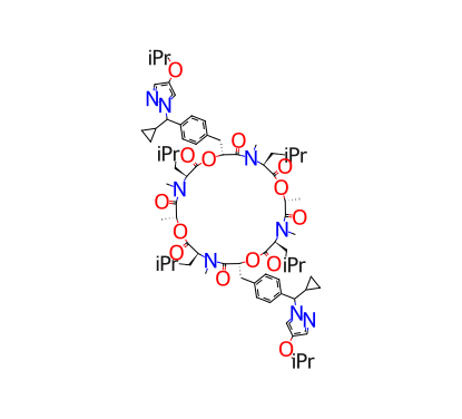 CC(C)C[C@H]1C(=O)O[C@H](Cc2ccc(C(C3CC3)n3cc(OC(C)C)cn3)cc2)C(=O)N(C)[C@@H](CC(C)C)C(=O)O[C@H](C)C(=O)N(C)[C@@H](CC(C)C)C(=O)O[C@H](Cc2ccc(C(C3CC3)n3cc(OC(C)C)cn3)cc2)C(=O)N(C)[C@@H](CC(C)C)C(=O)O[C@H](C)C(=O)N1C